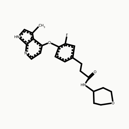 Cc1c[nH]c2nccc(Oc3ccc(CCC(=O)NC4CCOCC4)cc3F)c12